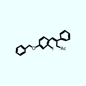 CC(=O)C/C(=C\c1ccc(OCc2ccccc2)cc1I)c1ccccc1